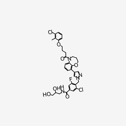 Cc1c(Cl)cccc1OCCCC(=O)N1CCCOc2c(-c3cnn(Cc4c(F)cc(C(=O)NCC(O)CO)cc4Cl)c3)cccc21